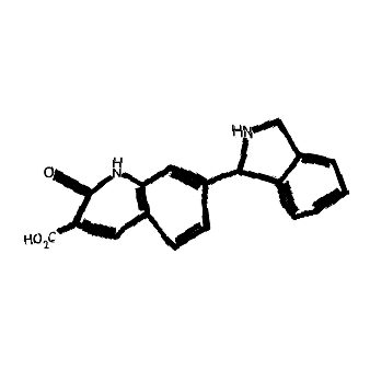 O=C(O)c1cc2ccc(C3NCc4ccccc43)cc2[nH]c1=O